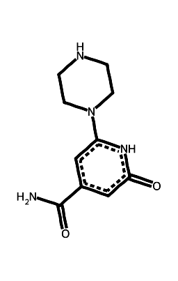 NC(=O)c1cc(N2CCNCC2)[nH]c(=O)c1